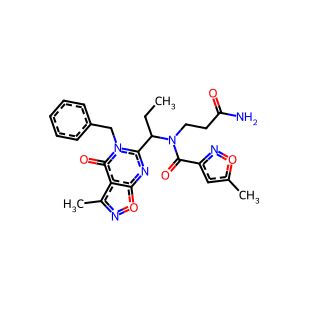 CCC(c1nc2onc(C)c2c(=O)n1Cc1ccccc1)N(CCC(N)=O)C(=O)c1cc(C)on1